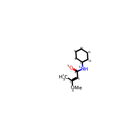 COC(C)=CC(=O)NC1CCCCC1